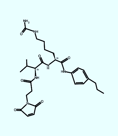 CCCc1ccc(NC(=O)[C@H](CCCCNC(N)=O)NC(=O)[C@@H](NC(=O)CCN2C(=O)C=CC2=O)C(C)C)cc1